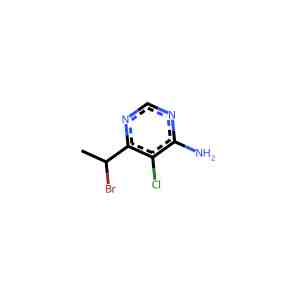 CC(Br)c1ncnc(N)c1Cl